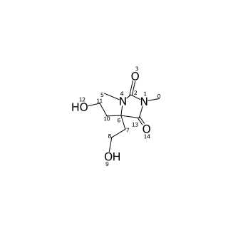 CN1C(=O)N(C)C(CCO)(CCO)C1=O